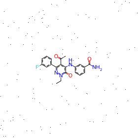 CCn1nc(-c2cccc(F)c2)c(C(C)=O)c(Nc2cccc(C(N)=O)c2)c1=O